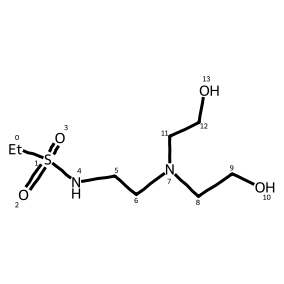 CCS(=O)(=O)NCCN(CCO)CCO